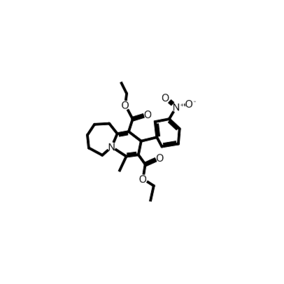 CCOC(=O)C1=C(C)N2CCCCCC2=C(C(=O)OCC)C1c1cccc([N+](=O)[O-])c1